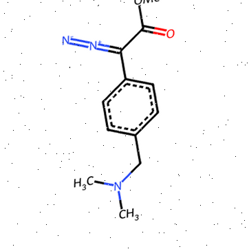 COC(=O)C(=[N+]=[N-])c1ccc(CN(C)C)cc1